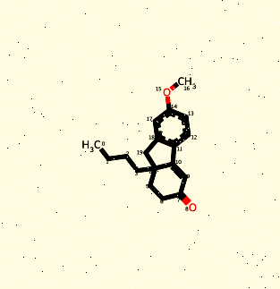 CCCCC12CCC(=O)C=C1c1ccc(OC)cc1C2